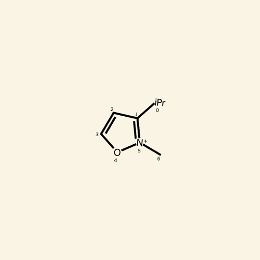 CC(C)c1cco[n+]1C